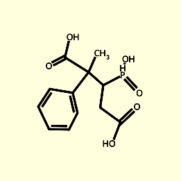 CC(C(=O)O)(c1ccccc1)C(CC(=O)O)[PH](=O)O